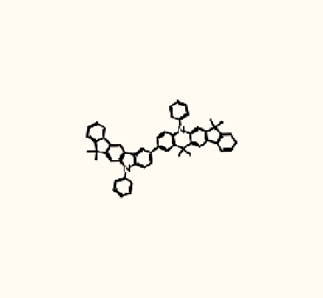 CC1(C)C2=C(C=CCC2)c2cc3c(cc21)N(c1ccccc1)c1ccc(-c2ccc4c(c2)c2cc5c(cc2n4-c2ccccc2)C(C)(C)c2ccccc2-5)cc1C3(C)C